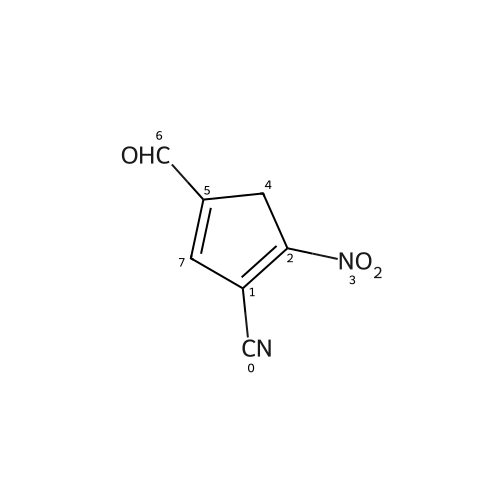 N#CC1=C([N+](=O)[O-])CC(C=O)=C1